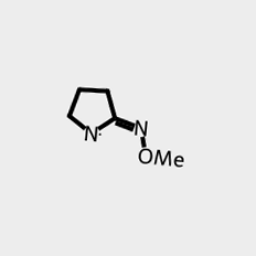 CON=C1CCC[N]1